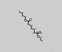 CCCCOC(=O)CCCCCC(=O)OCC